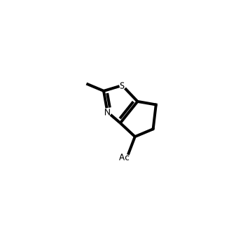 CC(=O)C1CCc2sc(C)nc21